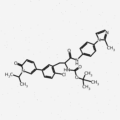 Cc1nccn1-c1ccc(NC(=O)C(Cc2cc(-c3ccc(=O)n(C(C)C)c3)ccc2Cl)NC(=O)OC(C)(C)C)cc1